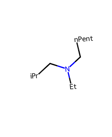 CCCCCCN(CC)CC(C)C